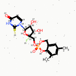 Cc1cc(C)c2c(c1)COP(=O)(OC[C@@]1(F)O[C@@H](n3ccc(=O)[nH]c3=S)[C@H](O)[C@@H]1O)O2